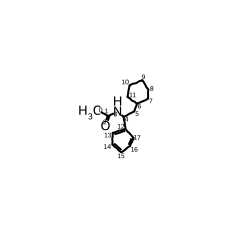 CC(=O)NC(CC1CCCCC1)c1ccccc1